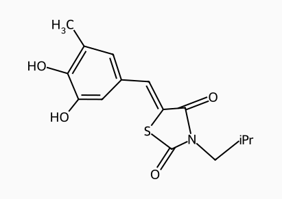 Cc1cc(/C=C2\SC(=O)N(CC(C)C)C2=O)cc(O)c1O